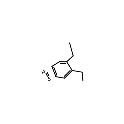 CCc1ccccc1CC.[Al]=[S]